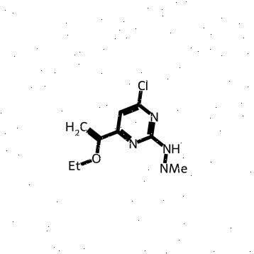 C=C(OCC)c1cc(Cl)nc(NNC)n1